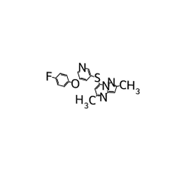 Cc1cc(Sc2cncc(Oc3ccc(F)cc3)c2)n2nc(C)cc2n1